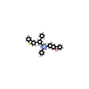 c1ccc(-c2cc(-c3ccc4sc5ccccc5c4c3)cc(-c3nc(-c4ccccc4)nc(-c4ccc5cc6c(cc5c4)oc4ccccc46)n3)c2)cc1